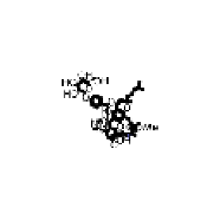 COC(=O)/C(C)=C\CC1(O)C(=O)C2CC(C(C)C)C13Oc1c(CC=C(C)C)c4c(c(OC(=O)c5ccc(O[C@H]6O[C@@H](CO)[C@H](O)[C@@H](O)[C@@H]6O)cc5)c1C1=C3C2n2cnc(n2)N1)C=CC(C)(CCC=C(C)C)O4